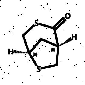 O=C1SC[C@H]2C[C@@H]1CS2